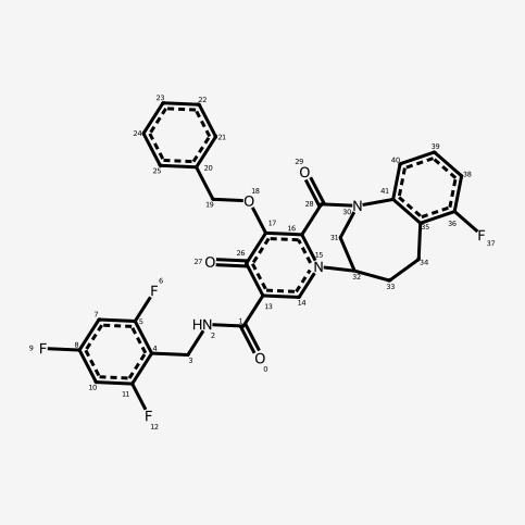 O=C(NCc1c(F)cc(F)cc1F)c1cn2c(c(OCc3ccccc3)c1=O)C(=O)N1CC2CCc2c(F)cccc21